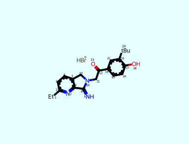 Br.CCc1ccc2c(n1)C(=N)N(CC(=O)c1ccc(O)c(C(C)(C)C)c1)C2